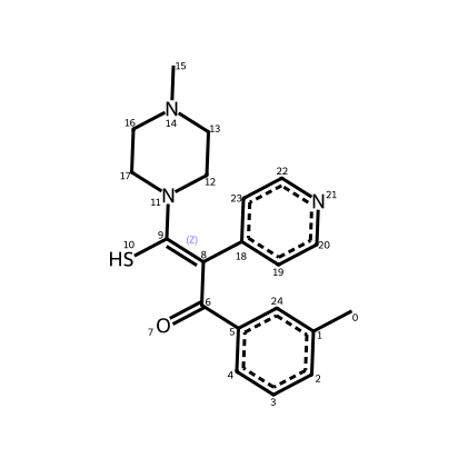 Cc1cccc(C(=O)/C(=C(\S)N2CCN(C)CC2)c2ccncc2)c1